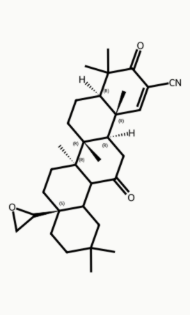 CC1(C)CC[C@]2(C3CO3)CC[C@]3(C)C(C(=O)C[C@@H]4[C@@]5(C)C=C(C#N)C(=O)C(C)(C)[C@@H]5CC[C@]43C)C2C1